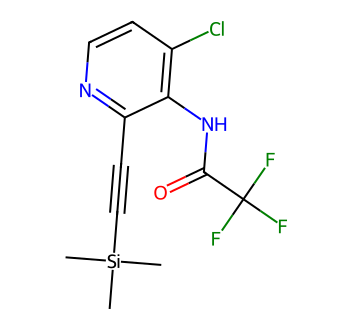 C[Si](C)(C)C#Cc1nccc(Cl)c1NC(=O)C(F)(F)F